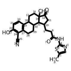 Cc1cnc(NC(=O)CCC2CC(=O)C3(C)CCC4c5ccc(O)c(C#N)c5CCC4C23)s1